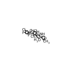 C[C@@H]1C[C@H](N2C(=N)N[C@](C)(c3cccc(NC(=O)c4cc(Cl)c(F)cc4F)c3Cl)CC2=O)CCO1.Cl